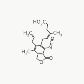 C=CCc1c(C)c2c(c(N=C=O)c1CC=C(C)CCC(=O)O)C(=O)OC2